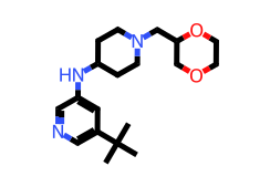 CC(C)(C)c1cncc(NC2CCN(CC3COCCO3)CC2)c1